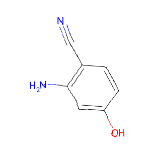 N#Cc1ccc(O)cc1N